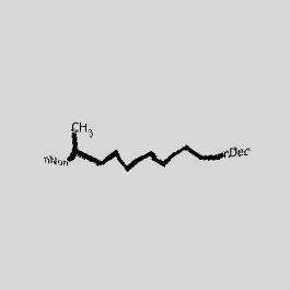 [CH2]CCCCCCCCCCCCCCCCC(C)CCCCCCCC[CH2]